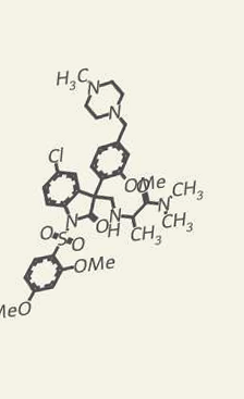 COc1ccc(S(=O)(=O)N2C(=O)C(CNC(C)C(=O)N(C)C)(c3ccc(CN4CCN(C)CC4)cc3OC)c3cc(Cl)ccc32)c(OC)c1